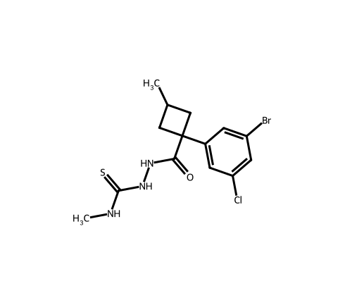 CNC(=S)NNC(=O)C1(c2cc(Cl)cc(Br)c2)CC(C)C1